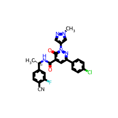 C[C@H](NC(=O)c1cc(-c2ccc(Cl)cc2)nn(-c2cnn(C)c2)c1=O)c1ccc(C#N)c(F)c1